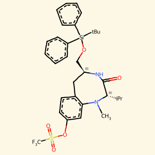 CC(C)[C@H]1C(=O)N[C@H](CO[Si](c2ccccc2)(c2ccccc2)C(C)(C)C)Cc2ccc(OS(=O)(=O)C(F)(F)F)cc2N1C